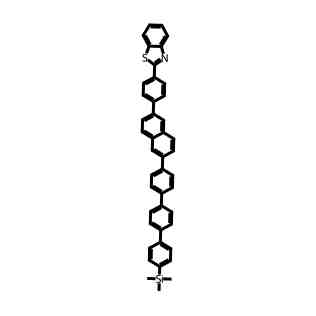 C[Si](C)(C)c1ccc(-c2ccc(-c3ccc(-c4ccc5cc(-c6ccc(-c7nc8ccccc8s7)cc6)ccc5c4)cc3)cc2)cc1